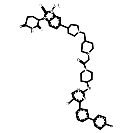 Cn1c(=O)n(C2CCC(=O)NC2=O)c2ccc(C3CCN(CC4CCN(CC(=O)N5CCC(Nc6ncc(Cl)c(-c7cccc(-c8ccc(F)cc8)c7)n6)CC5)CC4)CC3)cc21